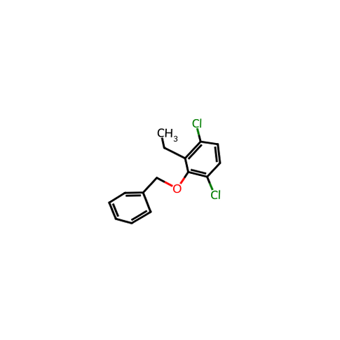 CCc1c(Cl)ccc(Cl)c1OCc1ccccc1